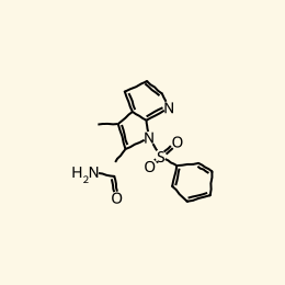 Cc1c(C)n(S(=O)(=O)c2ccccc2)c2ncccc12.NC=O